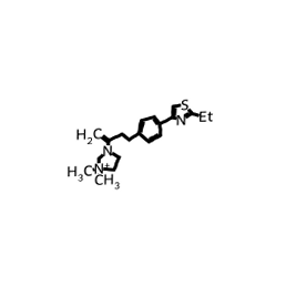 C=C(CCc1ccc(-c2csc(CC)n2)cc1)N1CC[N+](C)(C)C1